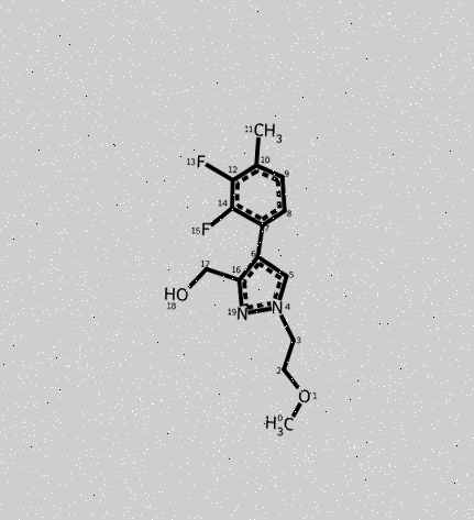 COCCn1cc(-c2ccc(C)c(F)c2F)c(CO)n1